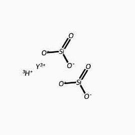 O=[Si]([O-])[O-].O=[Si]([O-])[O-].[3H+].[Y+3]